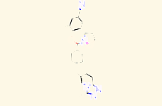 Cc1nnc2ccc(C[C@H]3CC[C@H](C(=O)N4OCC[C@H]4c4cc(F)cc(C#N)c4)CC3)cn12